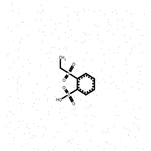 CCS(=O)(=O)c1ccc[c]c1S(=O)(=O)O